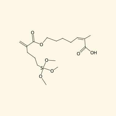 C=C(CCC[Si](OC)(OC)OC)C(=O)OCCCCC=C(C)C(=O)O